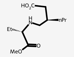 CCC[C@@H](CN[C@@H](CC)C(=O)OC)CC(=O)O